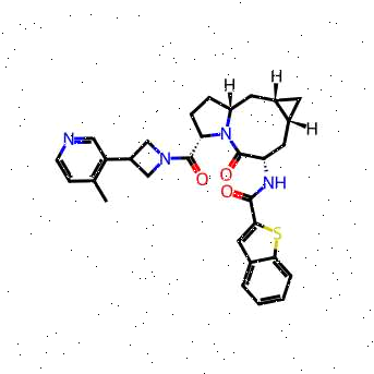 Cc1ccncc1C1CN(C(=O)[C@@H]2CC[C@@H]3C[C@@H]4C[C@@H]4C[C@H](NC(=O)c4cc5ccccc5s4)C(=O)N32)C1